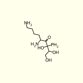 NCCCCC(N)C(=O)C(O)(P)C(O)CO